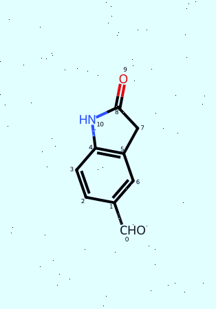 O=Cc1ccc2c(c1)CC(=O)N2